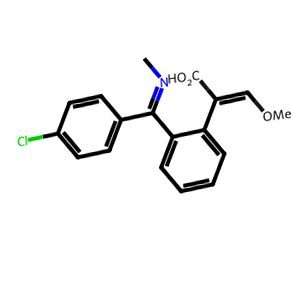 C/N=C(\c1ccc(Cl)cc1)c1ccccc1/C(=C\OC)C(=O)O